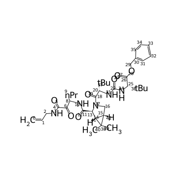 C=CCNC(=O)C(=O)C(CCC)NC(=O)[C@@H]1[C@@H]2[C@H](CN1C(=O)[C@@H](NC(=O)N[C@H](C(=O)OCc1ccccc1)C(C)(C)C)C(C)(C)C)C2(C)C